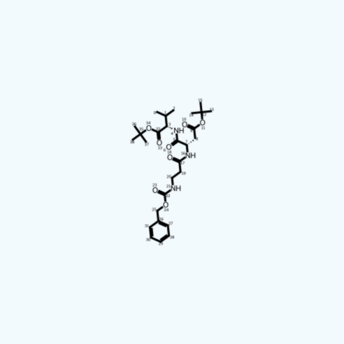 CC(C)[C@H](NC(=O)[C@H](CC(=O)OC(C)(C)C)NC(=O)CCNC(=O)OCc1ccccc1)C(=O)OC(C)(C)C